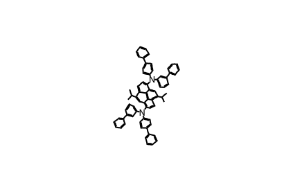 CC(C)c1cc2c(N(c3ccc(-c4ccccc4)cc3)c3cccc(-c4ccccc4)c3)ccc3c(C(C)C)cc4c(N(c5ccc(-c6ccccc6)cc5)c5cccc(-c6ccccc6)c5)ccc1c4c32